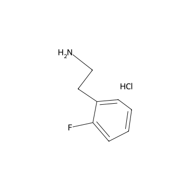 Cl.NCCc1ccccc1F